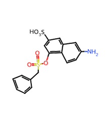 Nc1ccc2c(OS(=O)(=O)Cc3ccccc3)cc(S(=O)(=O)O)cc2c1